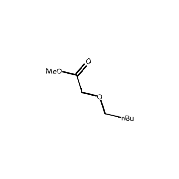 CCCCCOCC(=O)OC